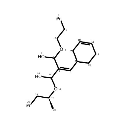 CC(C)CCOC(O)/C(=C\C1CC=CCC1)C(O)O[C@@H](C)CC(C)C